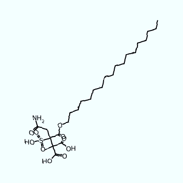 CCCCCCCCCCCCCCCCCCOC(=O)C(CC(N)=O)(C(C)(C(=O)O)C(=O)O)S(=O)(=O)O